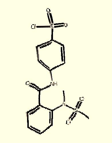 CN(c1ccccc1C(=O)Nc1ccc(S(=O)(=O)Cl)cc1)S(C)(=O)=O